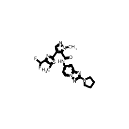 Cc1sc(-c2cnn(C)c2C(=O)Nc2ccn3nc(N4CCCC4)nc3c2)nc1C(F)F